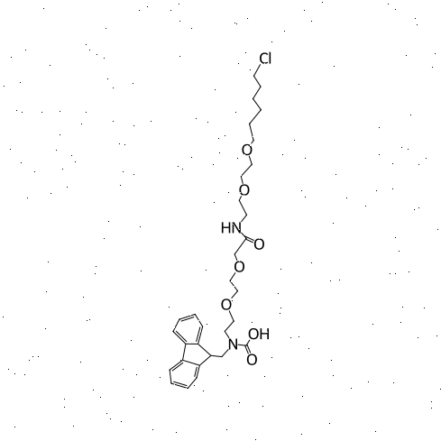 O=C(COCCOCCN(CC1c2ccccc2-c2ccccc21)C(=O)O)NCCOCCOCCCCCCCl